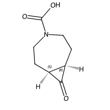 O=C1[C@H]2CCN(C(=O)O)CC[C@@H]12